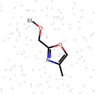 CCOCc1nc(C)co1